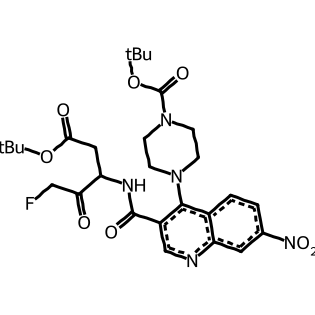 CC(C)(C)OC(=O)CC(NC(=O)c1cnc2cc([N+](=O)[O-])ccc2c1N1CCN(C(=O)OC(C)(C)C)CC1)C(=O)CF